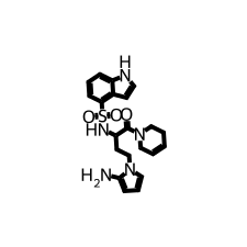 Nc1cccn1CCC(NS(=O)(=O)c1cccc2[nH]ccc12)C(=O)N1CC=CCC1